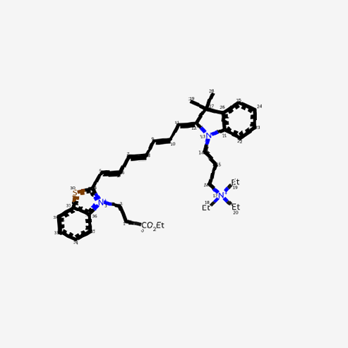 CCOC(=O)CC[n+]1c(/C=C/C=C/C=C/C=C2\N(CCC[N+](CC)(CC)CC)c3ccccc3C2(C)C)sc2ccccc21